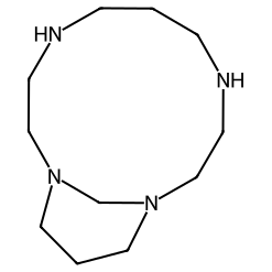 C1CNCCN2CCCN(CCNC1)C2